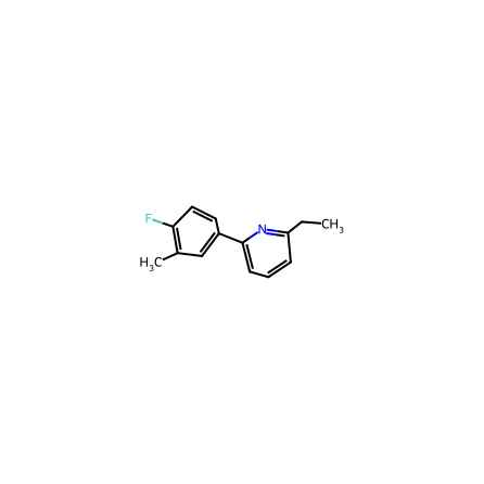 CCc1cccc(-c2ccc(F)c(C)c2)n1